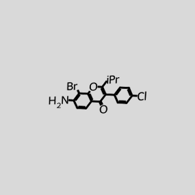 CC(C)c1oc2c(Br)c(N)ccc2c(=O)c1-c1ccc(Cl)cc1